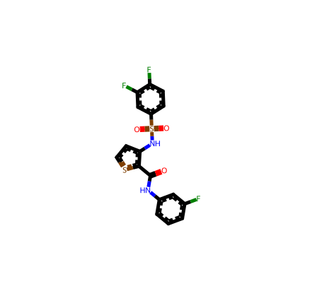 O=C(Nc1cccc(F)c1)c1sccc1NS(=O)(=O)c1ccc(F)c(F)c1